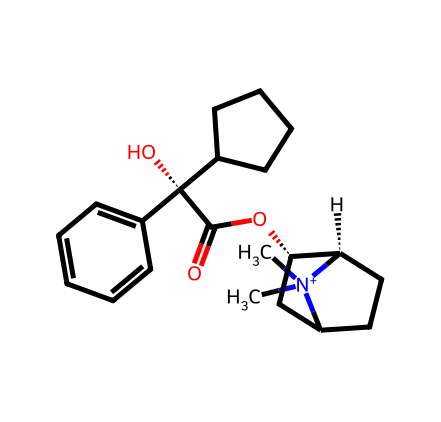 C[N+]1(C)C2CC[C@@H]1[C@@H](OC(=O)[C@@](O)(c1ccccc1)C1CCCC1)C2